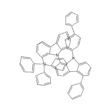 c1ccc(-c2ccc(-n3c4cccc(-c5ccccc5)c4c4cccc(-n5c6ccccc6c6cccc([Si](c7ccccc7)(c7ccccc7)c7ccccc7)c65)c43)cc2)cc1